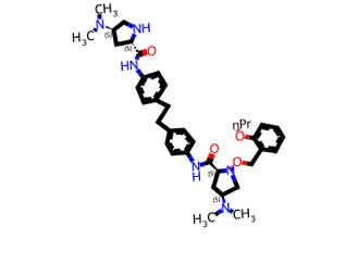 CCCOc1ccccc1CON1C[C@@H](N(C)C)C[C@H]1C(=O)Nc1ccc(CCc2ccc(NC(=O)[C@@H]3C[C@H](N(C)C)CN3)cc2)cc1